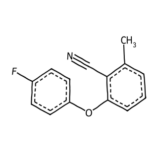 Cc1cccc(Oc2ccc(F)cc2)c1C#N